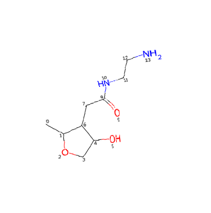 CC1OCC(O)C1CC(=O)NCCN